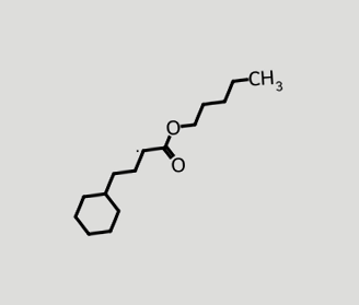 CCCCCOC(=O)[CH]CCC1CCCCC1